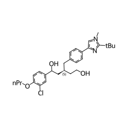 CCCOc1ccc(C(O)C[C@H](CCO)Cc2ccc(-c3cn(C)c(C(C)(C)C)n3)cc2)cc1Cl